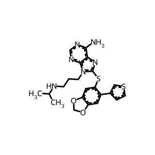 CC(C)NCCCn1c(Sc2cc3c(cc2-c2ccsc2)OCO3)nc2c(N)ncnc21